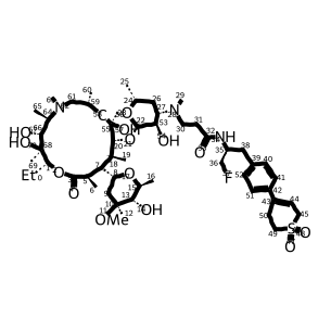 CC[C@H]1OC(=O)[C@H](C)C([C@H]2C[C@@](C)(OC)[C@@H](O)[C@H](C)O2)[C@H](C)[C@@H](O[C@@H]2O[C@H](C)C[C@H](N(C)CCC(=O)N[C@H](CF)Cc3ccc(C4=CCS(=O)(=O)CC4)cc3)[C@H]2O)[C@](C)(O)C[C@@H](C)CN(C)[C@H](C)[C@@H](O)[C@]1(C)O